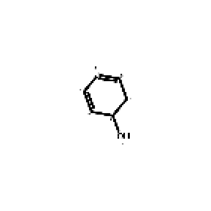 OC1C=CI=CC1